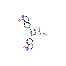 COC(=O)c1cc(-c2ccc3c(=O)[nH]ccc3c2)c(C)c(-c2ccc3c(=O)[nH]ccc3c2)c1